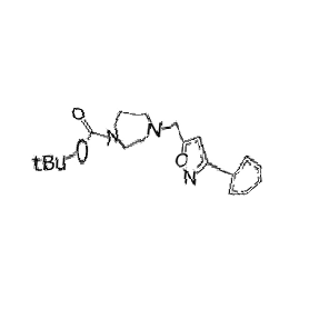 CC(C)(C)OC(=O)N1CCN(Cc2cc(-c3ccccc3)no2)CC1